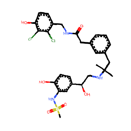 CC(C)(Cc1cccc(CC(=O)NCc2ccc(O)c(Cl)c2Cl)c1)NC[C@@H](O)c1ccc(O)c(NS(C)(=O)=O)c1